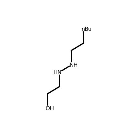 CCCCCCNNCCO